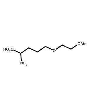 COCCOCCCC(N)C(=O)O